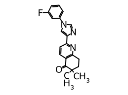 CC1(C)CCc2nc(-c3cn(-c4cccc(F)c4)cn3)ccc2C1=O